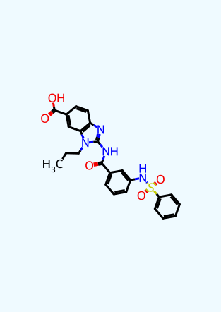 CCCn1c(NC(=O)c2cccc(NS(=O)(=O)c3ccccc3)c2)nc2ccc(C(=O)O)cc21